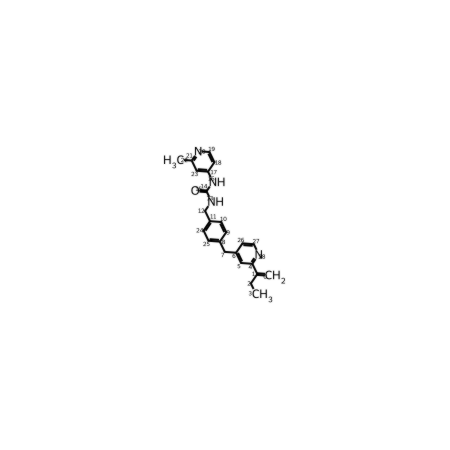 C=C(CC)c1cc(Cc2ccc(CNC(=O)Nc3ccnc(C)c3)cc2)ccn1